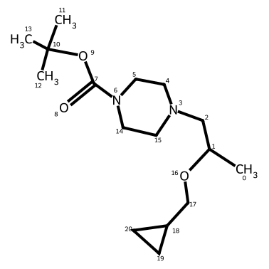 CC(CN1CCN(C(=O)OC(C)(C)C)CC1)OCC1CC1